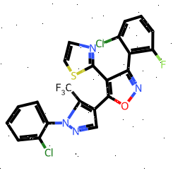 Fc1cccc(Cl)c1-c1noc(-c2cnn(-c3ccccc3Cl)c2C(F)(F)F)c1-c1nccs1